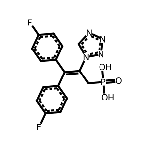 O=P(O)(O)CC(=C(c1ccc(F)cc1)c1ccc(F)cc1)n1cnnn1